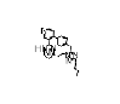 CCCCCn1nc(CCCC)nc1Cc1ccc(-c2ccncc2-c2nnn[nH]2)cc1